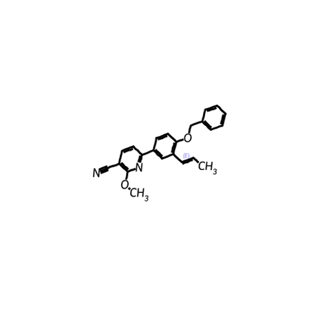 C/C=C/c1cc(-c2ccc(C#N)c(OC)n2)ccc1OCc1ccccc1